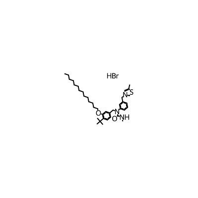 Br.CCCCCCCCCCCCCCOc1cc(CN(C(=O)NC)c2cccc(CN3C=C(C)SC3)c2)ccc1C(C)(C)C